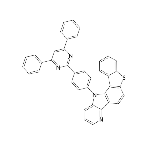 c1ccc(-c2cc(-c3ccccc3)nc(-c3ccc(-n4c5cccnc5c5ccc6sc7ccccc7c6c54)cc3)n2)cc1